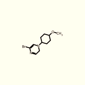 COC1CCC(N2C=C(Br)N=CC2)CC1